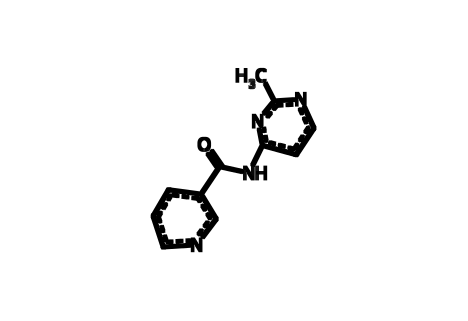 Cc1nccc(NC(=O)c2cccnc2)n1